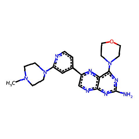 CN1CCN(c2cc(-c3cnc4nc(N)nc(N5CCOCC5)c4n3)ccn2)CC1